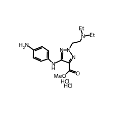 CCN(CC)CCn1nc(Nc2ccc(N)cc2)c(C(=O)OC)n1.Cl.Cl